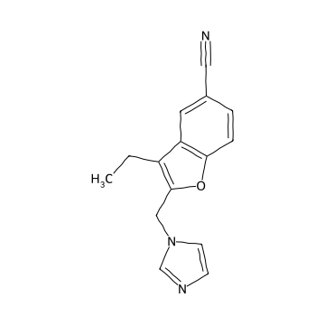 CCc1c(Cn2ccnc2)oc2ccc(C#N)cc12